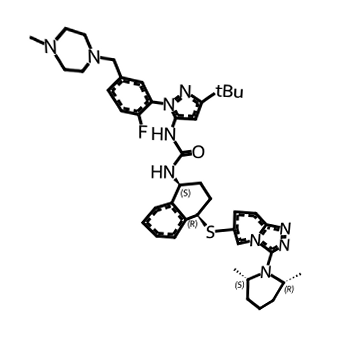 C[C@@H]1CCC[C@H](C)N1c1nnc2ccc(S[C@@H]3CC[C@H](NC(=O)Nc4cc(C(C)(C)C)nn4-c4cc(CN5CCN(C)CC5)ccc4F)c4ccccc43)cn12